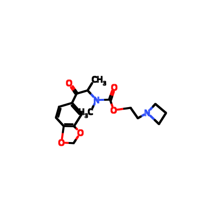 CC(C(=O)c1ccc2c(c1)OCO2)N(C)C(=O)OCCN1CCC1